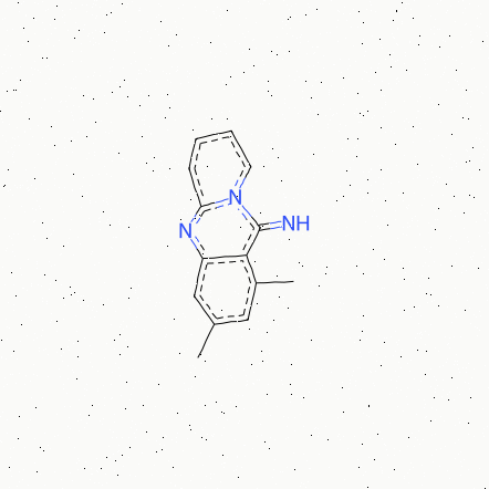 Cc1cc(C)c2c(=N)n3ccccc3nc2c1